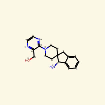 N[C@@H]1c2ccccc2CC12CCN(c1nccnc1CO)CC2